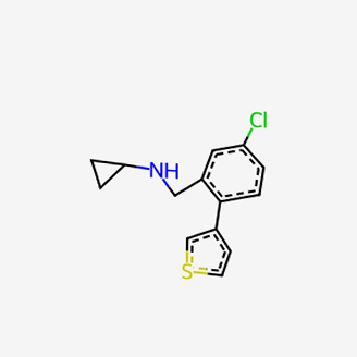 Clc1ccc(-c2ccsc2)c(CNC2CC2)c1